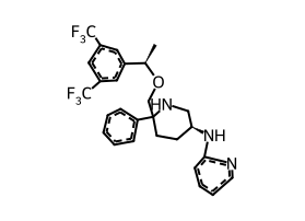 C[C@@H](OCC1(c2ccccc2)CC[C@H](Nc2ccccn2)CN1)c1cc(C(F)(F)F)cc(C(F)(F)F)c1